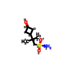 CC(C)(CS(N)(=O)=O)C1CC(=O)C1